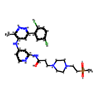 CS(=O)(=O)CCN1CCN(CCC(=O)Nc2cc(Nc3cc(-c4cc(Cl)ccc4F)nnc3C(F)(F)F)ccn2)CC1